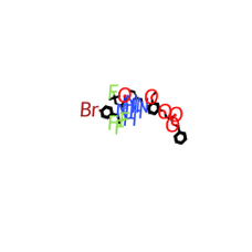 CC[C@@H](CNc1ccc(OCC(=O)OCc2ccccc2)cc1OC)NC(=O)[C@H](CC(C)(C)F)N[C@@H](c1ccc(Br)cc1)C(F)(F)F